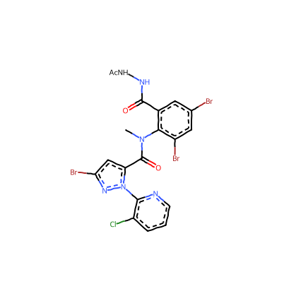 CC(=O)NNC(=O)c1cc(Br)cc(Br)c1N(C)C(=O)c1cc(Br)nn1-c1ncccc1Cl